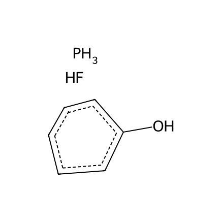 F.Oc1ccccc1.P